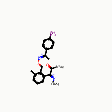 CNC(=O)/C(=N/OC)c1cccc(C)c1CO/N=C(\C)c1ccc(P)cc1